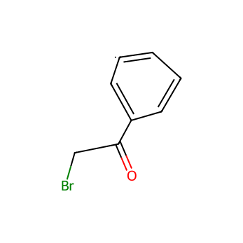 O=C(CBr)c1c[c]ccc1